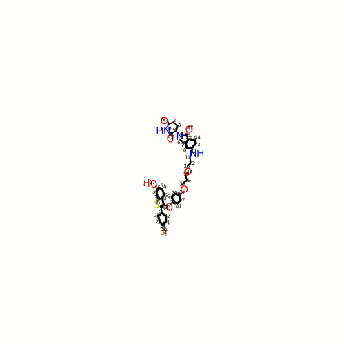 O=C1CCC(N2Cc3cc(NCCCOCCCOc4ccc(Oc5c(-c6ccc(Br)cc6)sc6cc(O)ccc56)cc4)ccc3C2=O)C(=O)N1